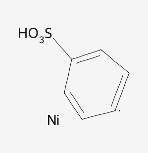 O=S(=O)(O)c1cc[c]cc1.[Ni]